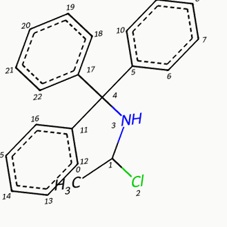 CC(Cl)NC(c1ccccc1)(c1ccccc1)c1ccccc1